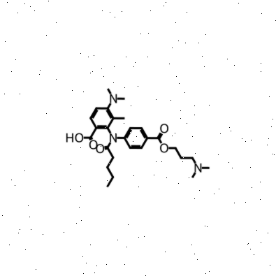 CCCCC(=O)N(c1ccc(C(=O)OCCCN(C)C)cc1)c1c(C(=O)O)ccc(N(C)C)c1C